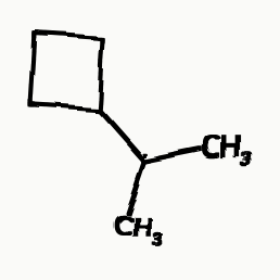 C[C](C)C1CCC1